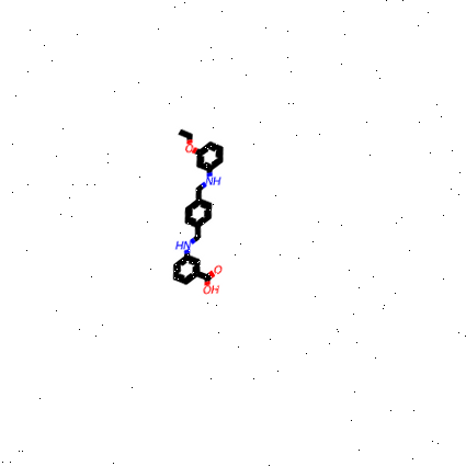 CCOc1cccc(NCc2ccc(CNc3cccc(C(=O)O)c3)cc2)c1